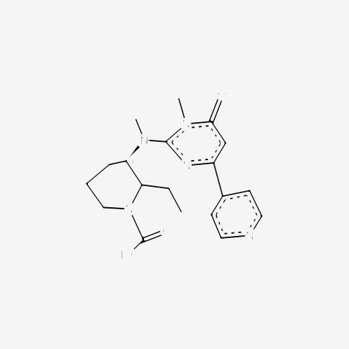 CCC1[C@H](N(C)c2nc(-c3ccncc3)cc(=O)n2C)CCCN1C(=O)O